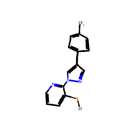 CCSc1cccnc1-n1cc(-c2ccc(C(F)(F)F)cc2)cn1